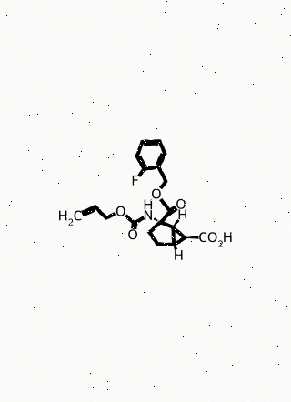 C=CCOC(=O)N[C@@]1(C(=O)OCc2ccccc2F)CC[C@H]2[C@H](C(=O)O)[C@H]21